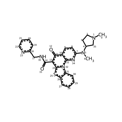 CN1CCC(N(C)c2ccc3c(=O)c(C(=O)NCc4ccccn4)c4sc5ccccc5n4c3n2)C1